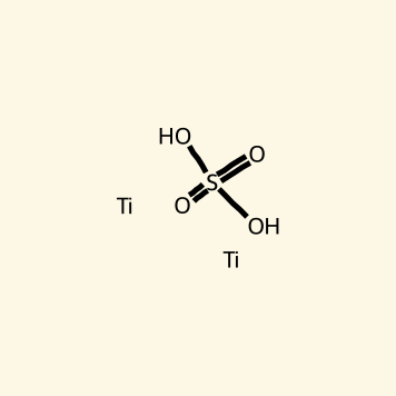 O=S(=O)(O)O.[Ti].[Ti]